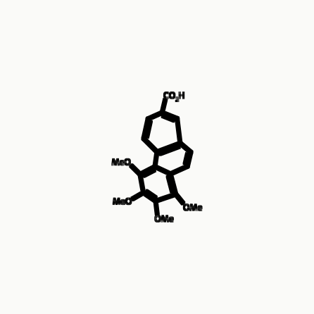 COc1c(OC)c(OC)c2c(ccc3cc(C(=O)O)ccc32)c1OC